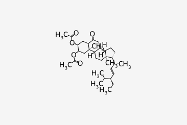 CC[C@H](/C=C/[C@@H](C)[C@H]1CC[C@H]2[C@@H]3CC(=O)C4C[C@H](OC(C)=O)[C@H](OC(C)=O)C[C@]4(C)[C@H]3CC[C@]12C)C(C)C